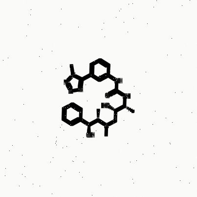 C[C@@H](NC(=O)Nc1cccc(-c2nnnn2C)c1)[C@@H](O)CN(C)[C@@H](C)[C@@H](O)c1ccccc1